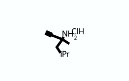 C#CC(C)(N)CC(C)C.Cl